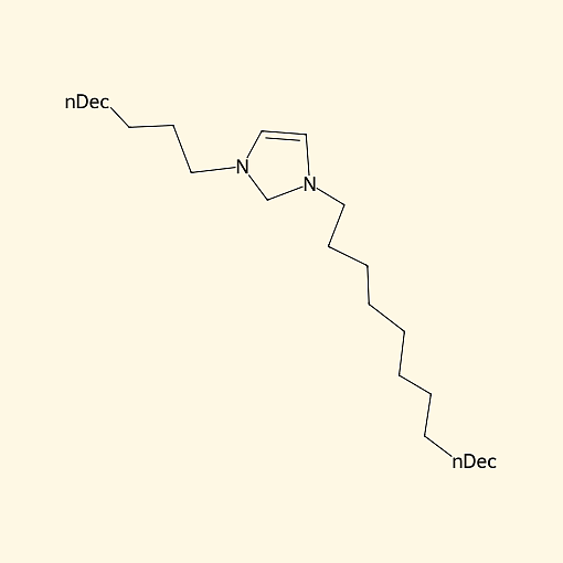 CCCCCCCCCCCCCCCCCCN1C=CN(CCCCCCCCCCCCC)C1